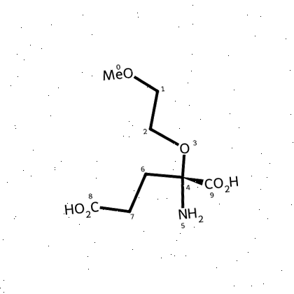 COCCO[C@](N)(CCC(=O)O)C(=O)O